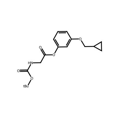 CC(C)(C)OC(=O)NCC(=O)Oc1cccc(OCC2CC2)c1